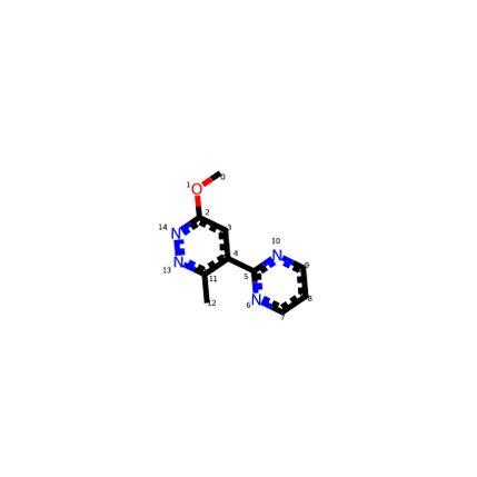 COc1cc(-c2ncccn2)c(C)nn1